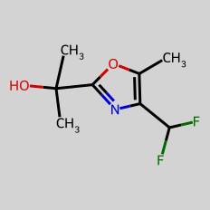 Cc1oc(C(C)(C)O)nc1C(F)F